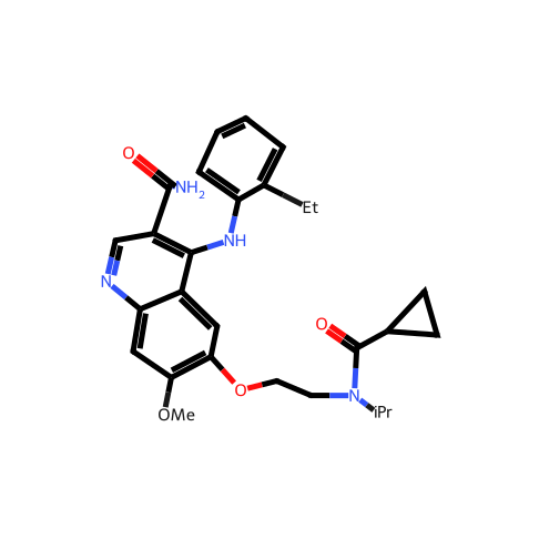 CCc1ccccc1Nc1c(C(N)=O)cnc2cc(OC)c(OCCN(C(=O)C3CC3)C(C)C)cc12